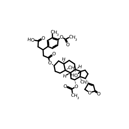 CC(=O)Oc1ccc(C(CC(=O)O)CC(=O)O[C@H]2CC[C@@]3(C)[C@H](CC[C@@H]4[C@@H]3C[C@@H](OC(C)=O)[C@]3(C)[C@@H](C5=CC(=O)OC5)CCC43O)C2)cc1C